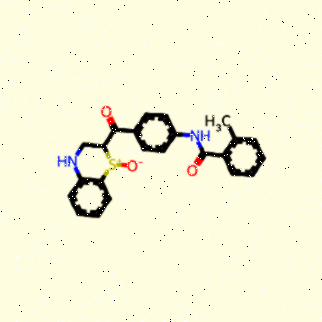 Cc1ccccc1C(=O)Nc1ccc(C(=O)C2CNc3ccccc3[S+]2[O-])cc1